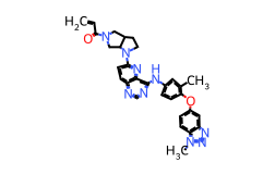 C=CC(=O)N1CC2CCN(c3ccc4ncnc(Nc5ccc(Oc6ccc7c(c6)nnn7C)c(C)c5)c4n3)C2C1